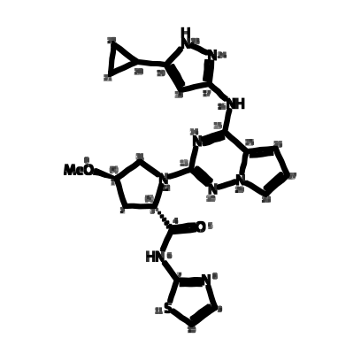 CO[C@@H]1C[C@@H](C(=O)Nc2nccs2)N(c2nc(Nc3cc(C4CC4)[nH]n3)c3cccn3n2)C1